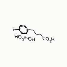 O=C(O)CCCc1ccc(F)cc1.O=S(=O)(O)O